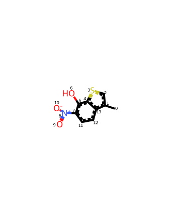 Cc1csc2c(O)c([N+](=O)[O-])ccc12